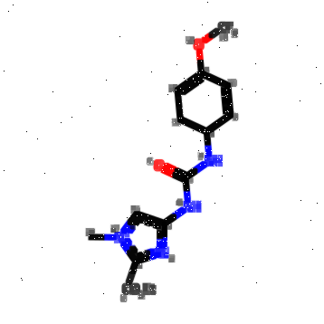 CCOC(=O)c1nc(NC(=O)NC2C=CC(OC(F)(F)F)=CC2)cn1C